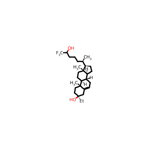 CC[C@]1(O)CC[C@@]2(C)C(=CC[C@H]3[C@@H]4CC[C@H]([C@H](C)CCCC(O)C(F)(F)F)[C@@]4(C)CC[C@@H]32)C1